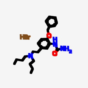 Br.CCCCN(CCCC)CCc1ccc(OCc2ccccc2)c(NC(N)=O)c1